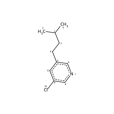 CC(C)CCc1cncc(Cl)c1